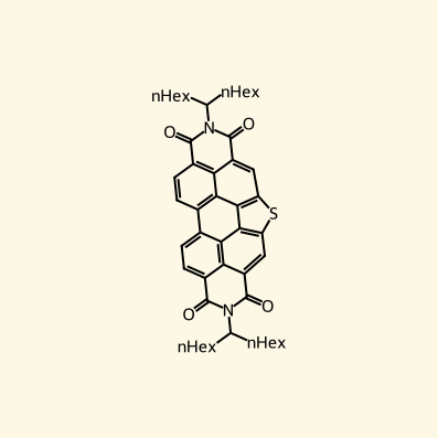 CCCCCCC(CCCCCC)n1c(=O)c2ccc3c4ccc5c(=O)n(C(CCCCCC)CCCCCC)c(=O)c6cc7sc8cc(c1=O)c2c3c8c7c4c56